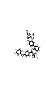 CN(Cc1cccc(-c2ccc(CC3SC(=O)NC3=O)cc2)c1)C(=O)c1ccc(Oc2ccccc2)cc1